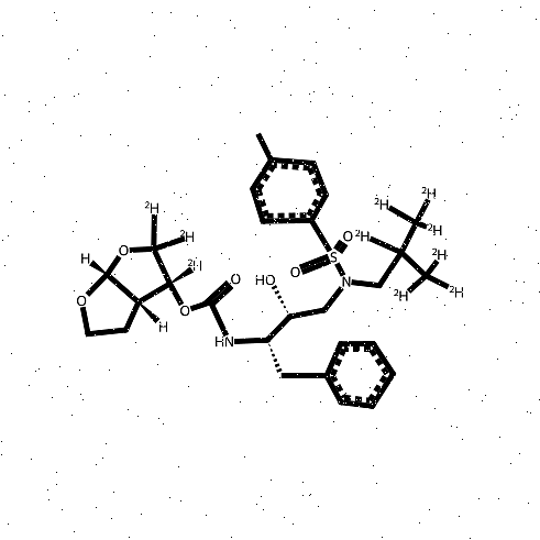 [2H]C([2H])([2H])C([2H])(CN(C[C@@H](O)[C@H](Cc1ccccc1)NC(=O)O[C@]1([2H])[C@@H]2CCO[C@@H]2OC1([2H])[2H])S(=O)(=O)c1ccc(C)cc1)C([2H])([2H])[2H]